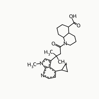 Cn1cc(C(C)(C)CC(=O)N2CCCC3C(C(=O)O)CCCC32)c2c(C3CC3)ccnc21